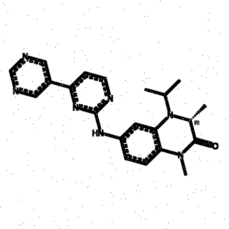 CC(C)N1c2cc(Nc3nccc(-c4cncnc4)n3)ccc2N(C)C(=O)[C@H]1C